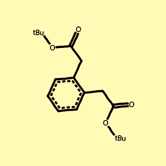 CC(C)(C)OC(=O)Cc1ccccc1CC(=O)OC(C)(C)C